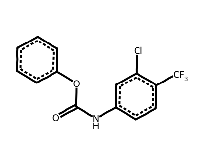 O=C(Nc1ccc(C(F)(F)F)c(Cl)c1)Oc1ccccc1